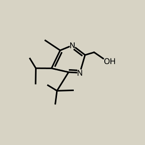 Cc1nc(CO)nc(C(C)(C)C)c1C(C)C